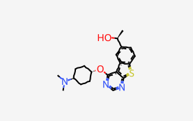 C[C@H](O)c1ccc2sc3ncnc(O[C@H]4CC[C@H](N(C)C)CC4)c3c2c1